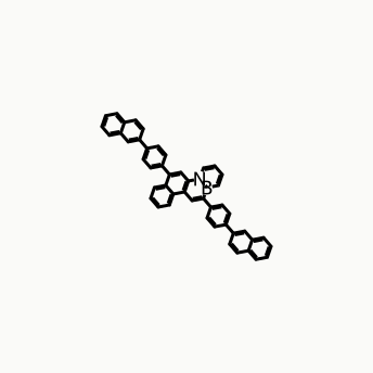 C1=CB2C(c3ccc(-c4ccc5ccccc5c4)cc3)=Cc3c(cc(-c4ccc(-c5ccc6ccccc6c5)cc4)c4ccccc34)N2C=C1